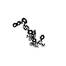 CN(C)CCC(CSc1ccccc1)Nc1ccc(S(=O)(=O)Nc2ncnc3cc(N4CCN(Cc5ccccc5N5Cc6ccccc6C5)CC4)ccc23)cc1[N+](=O)[O-]